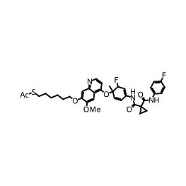 COc1cc2c(OC3(C)C=CC(NC(=O)C4(C(=O)Nc5ccc(F)cc5)CC4)=CC3F)ccnc2cc1OCCCCCCSC(C)=O